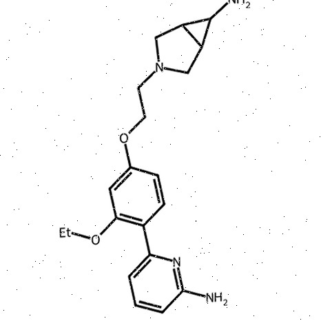 CCOc1cc(OCCN2CC3C(N)C3C2)ccc1-c1cccc(N)n1